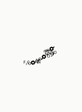 CCCc1ccc(C)cc1N1C(=O)CSC1NC(=O)Nc1ccc(COc2ncn(-c3ccc(OC(F)(F)F)cc3)n2)cc1